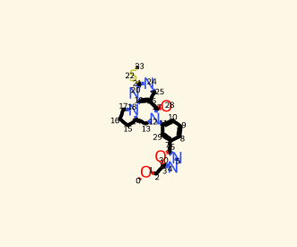 COCc1nnc(-c2cccc(N3CC4CCCN4c4nc(SC)ncc4C3=O)c2)o1